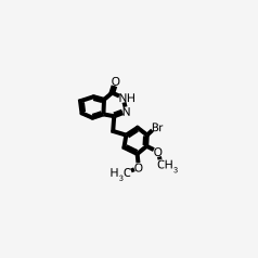 COc1cc(Cc2n[nH]c(=O)c3ccccc23)cc(Br)c1OC